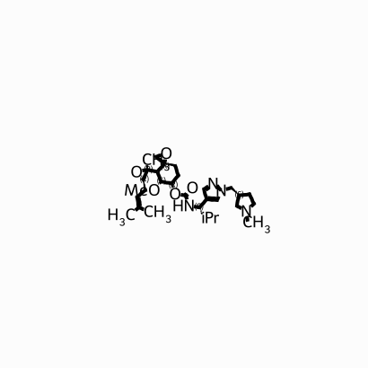 CO[C@H]1C([C@@]2(C)O[C@@H]2CC=C(C)C)[C@]2(CC[C@H]1OC(=O)N[C@H](c1cnn(C[C@H]3CCN(C)C3)c1)C(C)C)CO2